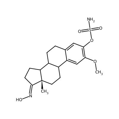 COc1cc2c(cc1OS(N)(=O)=O)CCC1C2CC[C@]2(C)/C(=N/O)CCC12